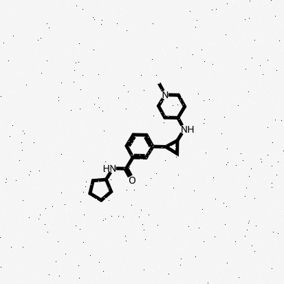 CN1CCC(NC2CC2c2cccc(C(=O)NC3CCCC3)c2)CC1